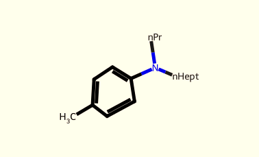 CCCCCCCN(CCC)c1ccc(C)cc1